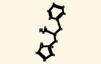 NC(Cc1ccccc1)Cc1ccco1